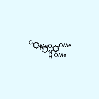 COc1cc(OC)c(NC2CCN(c3ccc([O])cc3)CC2)c(OC)c1